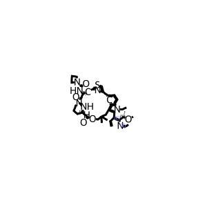 C=C/C(=C(\N=C/C)[C@H](C)OC)c1c2c3cc(ccc3n1CC)-c1csc(n1)C[C@H](NC(=O)N1CCC1)C(=O)N1CCC[C@H](N1)C(=O)OCC(C)(C)C2